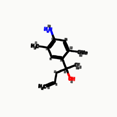 C=CCC(O)(c1cc(C)c(N)cc1OC)C(F)(F)F